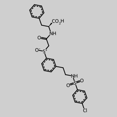 O=C(C[S+]([O-])c1cccc(CCNS(=O)(=O)c2ccc(Cl)cc2)c1)N[C@@H](Cc1ccccc1)C(=O)O